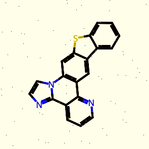 c1ccc2c(c1)sc1cc3c(cc12)c1ncccc1c1nccn31